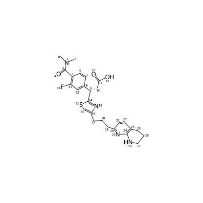 CN(C)C(=O)c1ccc([C@H](CC(=O)O)c2nc(CCCc3ccc4c(n3)NCCC4)cs2)cc1F